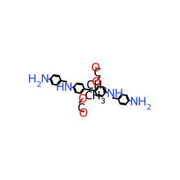 CC(C)(c1ccc(NCc2ccc(N)cc2)cc1OC=C=O)c1ccc(NCc2ccc(N)cc2)cc1OC=C=O